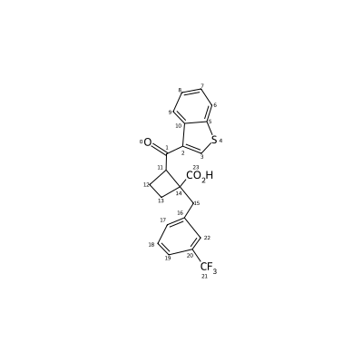 O=C(c1csc2ccccc12)C1CCC1(Cc1cccc(C(F)(F)F)c1)C(=O)O